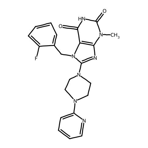 Cn1c(=O)[nH]c(=O)c2c1nc(N1CCN(c3ccccn3)CC1)n2Cc1ccccc1F